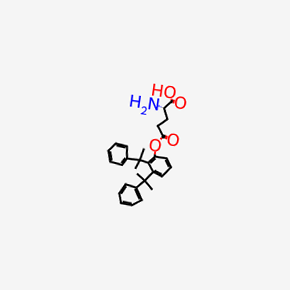 CC(C)(c1ccccc1)c1cccc(OC(=O)CC[C@H](N)C(=O)O)c1C(C)(C)c1ccccc1